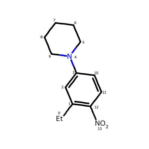 CCc1cc(N2CCCCC2)ccc1[N+](=O)[O-]